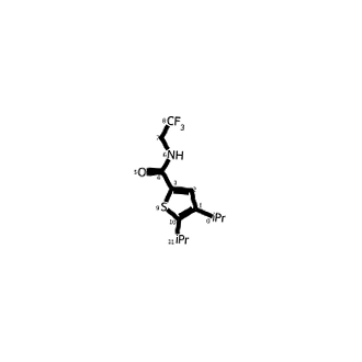 CC(C)c1cc(C(=O)NCC(F)(F)F)sc1C(C)C